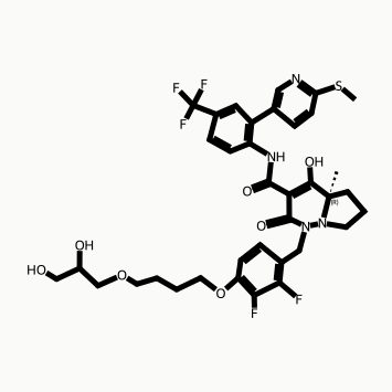 CSc1ccc(-c2cc(C(F)(F)F)ccc2NC(=O)C2=C(O)[C@@]3(C)CCCN3N(Cc3ccc(OCCCCOCC(O)CO)c(F)c3F)C2=O)cn1